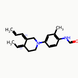 C=C/C=C1/CN(c2ccc(NC=O)c(C)c2)CC/C1=C/C